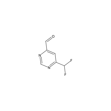 O=Cc1cc(C(F)F)ncn1